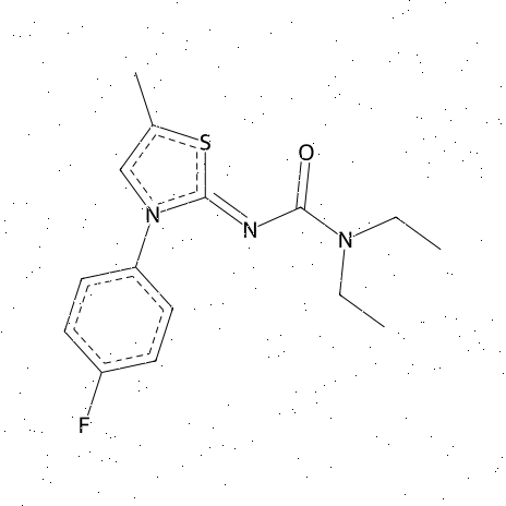 CCN(CC)C(=O)N=c1sc(C)cn1-c1ccc(F)cc1